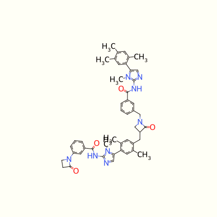 Cc1cc(C)c(-c2cnc(NC(=O)c3cccc(CN4CC(Cc5cc(C)c(-c6cnc(NC(=O)c7cccc(N8CCC8=O)c7)n6C)cc5C)C4=O)c3)n2C)cc1C